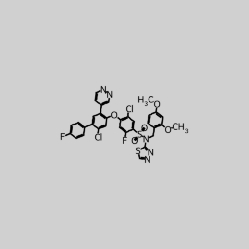 COc1ccc(CN(c2nncs2)S(=O)(=O)c2cc(Cl)c(Oc3cc(Cl)c(-c4ccc(F)cc4)cc3-c3ccnnc3)cc2F)c(OC)c1